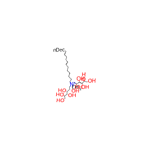 CCCCCCCCCCCCCCCCCCCCCC[N+](C)(C[C@H](O)[C@@H](O)[C@H](O)[C@H](O)CO)C[C@H](O)[C@@H](O)[C@H](O)[C@H](O)CO